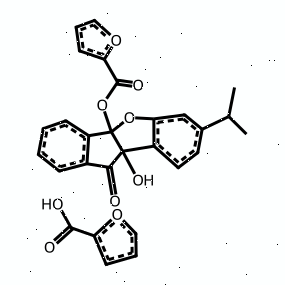 CC(C)c1ccc2c(c1)OC1(OC(=O)c3ccco3)c3ccccc3C(=O)C21O.O=C(O)c1ccco1